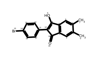 Cc1cc2c(cc1C)C(O)=C(c1ccc(Br)cc1)C2=O